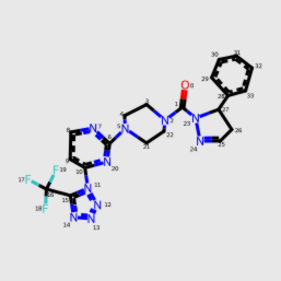 O=C(N1CCN(c2nccc(-n3nnnc3C(F)(F)F)n2)CC1)N1N=CCC1c1ccccc1